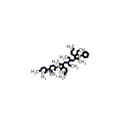 C=C\C=C/C(=C\C)C(/C=C\C(=C/C)n1c(C)c(/C=C\C=C)c(/C=C(C=C)/C(C=C)=C/c2c(/C=C\C=C)c(C=C)n(-c3ccccc3)c2C)c1C)=C\C